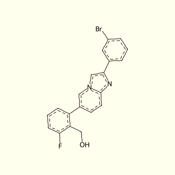 OCc1c(F)cccc1-c1ccc2nc(-c3cccc(Br)c3)cn2c1